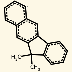 CC1(C)c2ccccc2-c2cc3[c]cccc3cc21